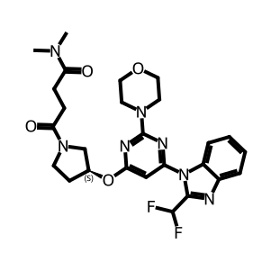 CN(C)C(=O)CCC(=O)N1CC[C@H](Oc2cc(-n3c(C(F)F)nc4ccccc43)nc(N3CCOCC3)n2)C1